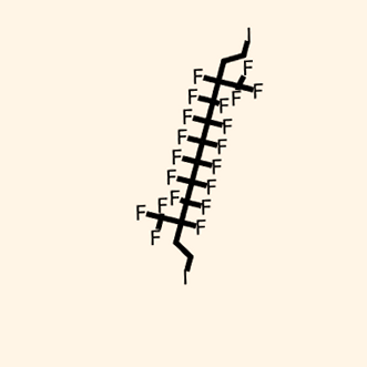 FC(F)(F)C(F)(CCI)C(F)(F)C(F)(F)C(F)(F)C(F)(F)C(F)(F)C(F)(F)C(F)(CCI)C(F)(F)F